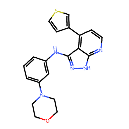 c1cc(Nc2n[nH]c3nccc(-c4ccsc4)c23)cc(N2CCOCC2)c1